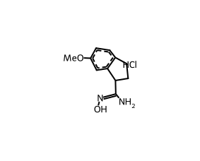 COc1ccc2c(c1)C(C(N)=NO)CC2.Cl